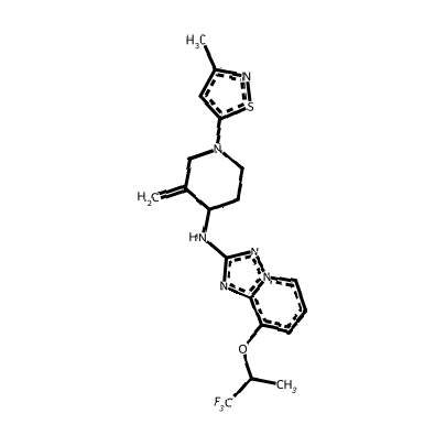 C=C1CN(c2cc(C)ns2)CCC1Nc1nc2c(OC(C)C(F)(F)F)cccn2n1